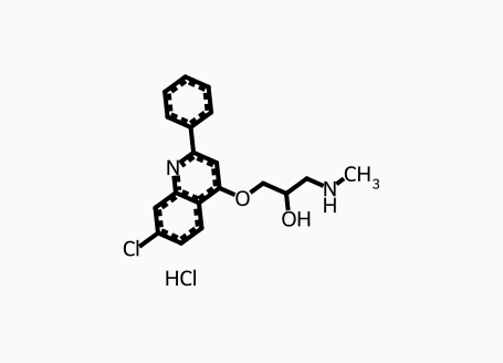 CNCC(O)COc1cc(-c2ccccc2)nc2cc(Cl)ccc12.Cl